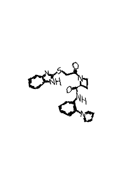 O=C(Nc1ccccc1-n1cccc1)[C@@H]1CCN1C(=O)CSc1nc2ccccc2[nH]1